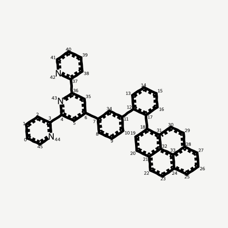 c1ccc(-c2cc(-c3cccc(-c4ccccc4-c4ccc5ccc6cccc7ccc4c5c67)c3)cc(-c3ccccn3)n2)nc1